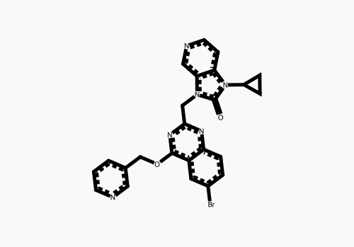 O=c1n(Cc2nc(OCc3cccnc3)c3cc(Br)ccc3n2)c2cnccc2n1C1CC1